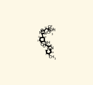 Cc1ccn2c(C(=O)Nc3cc(-c4noc(CC(O)(C(F)(F)F)C(F)(F)F)n4)ccc3C)cnc2c1